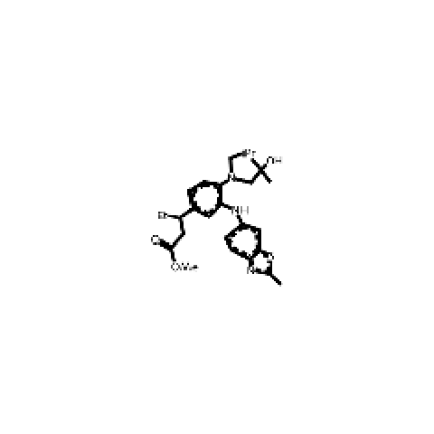 CCC(CC(=O)OC)c1ccc(N(CC(C)C)CC(C)(C)O)c(Nc2ccc3nc(C)sc3c2)c1